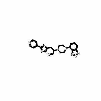 O=CC(Cc1csc(-c2ccncc2)n1)N1CCN(c2cccc3nsnc23)CC1